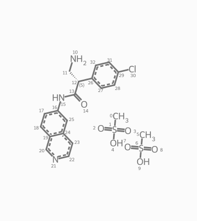 CS(=O)(=O)O.CS(=O)(=O)O.NC[C@@H](C(=O)Nc1ccc2cnccc2c1)c1ccc(Cl)cc1